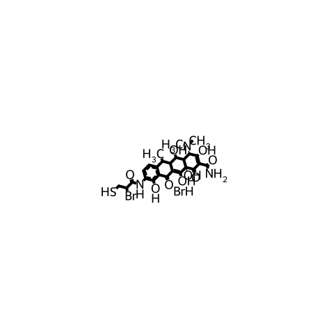 Br.CC1c2ccc(NC(=O)C(Br)CS)c(O)c2C(=O)C2=C(O)[C@]3(O)C(=O)C(C(N)=O)=C(O)[C@@H](N(C)C)C3C(O)C21